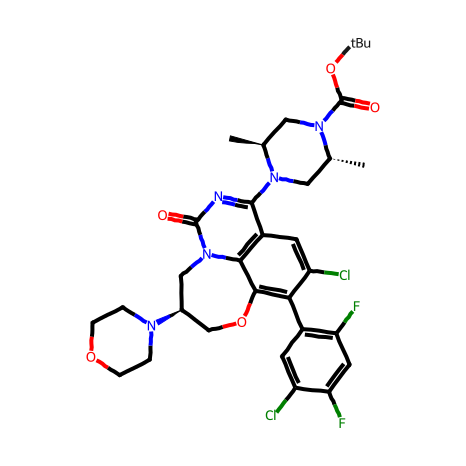 C[C@@H]1CN(c2nc(=O)n3c4c(c(-c5cc(Cl)c(F)cc5F)c(Cl)cc24)OC[C@@H](N2CCOCC2)C3)[C@@H](C)CN1C(=O)OC(C)(C)C